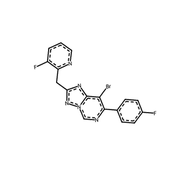 Fc1ccc(-c2ncn3nc(Cc4ncccc4F)nc3c2Br)cc1